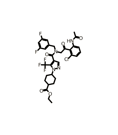 CCOC(=O)C1CCC(n2ncc(C(=O)N(CC(=O)c3c(Cl)cccc3NC(C)=O)Cc3cc(F)cc(F)c3)c2C(F)(F)F)CC1